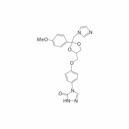 COc1ccc(C2(Cn3ccnc3)OCC(COc3ccc(-n4cn[nH]c4=O)cc3)O2)cc1